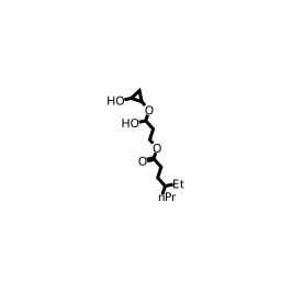 CCCC(CC)CCC(=O)OCCC(O)OC1CC1O